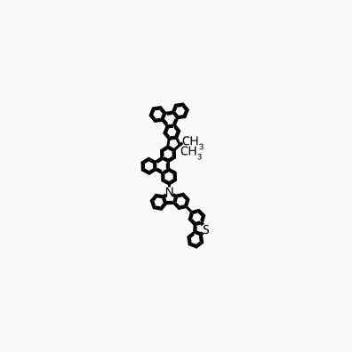 CC1(C)c2cc3c4ccccc4c4ccccc4c3cc2-c2cc3c4ccccc4c4cc(-n5c6ccccc6c6cc(-c7ccc8sc9ccccc9c8c7)ccc65)ccc4c3cc21